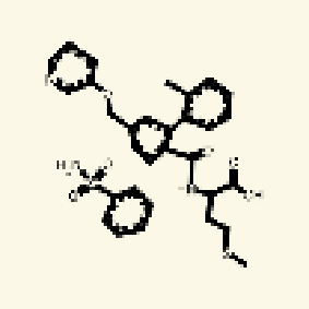 CSCCC(NC(=O)c1ccc(COc2cccnc2)cc1-c1ccccc1C)C(=O)O.NS(=O)(=O)c1ccccc1